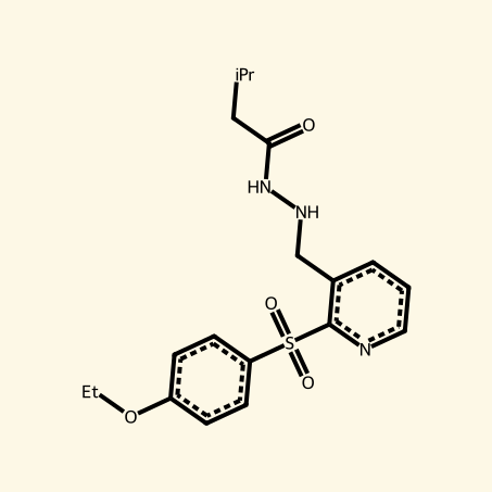 CCOc1ccc(S(=O)(=O)c2ncccc2CNNC(=O)CC(C)C)cc1